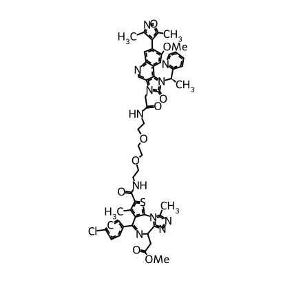 COC(=O)CC1N=C(c2ccc(Cl)cc2)c2c(sc(C(=O)NCCOCCOCCNC(=O)Cn3c(=O)n([C@H](C)c4ccccn4)c4c5cc(OC)c(-c6c(C)noc6C)cc5ncc43)c2C)-n2c(C)nnc21